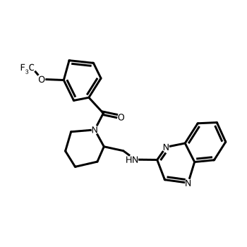 O=C(c1cccc(OC(F)(F)F)c1)N1CCCCC1CNc1cnc2ccccc2n1